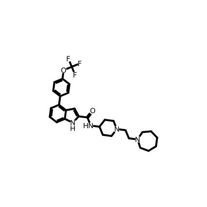 O=C(NC1CCN(CCN2CCCCCC2)CC1)c1cc2c(-c3ccc(OC(F)(F)F)cc3)cccc2[nH]1